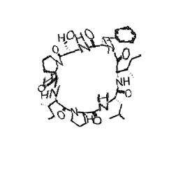 CC[C@H](C)[C@@H]1NC(=O)[C@H](CC(C)C)NC(=O)[C@@H]2CCCN2C(=O)[C@H]([C@@H](C)CC)NC(=O)[C@@H]2CCCN2C(=O)[C@H](CO)NC(=O)[C@H](Cc2ccccc2)NC1=O